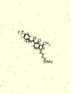 COCCCCn1nc(C)c2c(Cl)c(C(=O)Nc3ccc(C(F)(F)F)cc3)cnc21